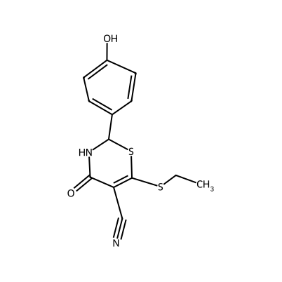 CCSC1=C(C#N)C(=O)NC(c2ccc(O)cc2)S1